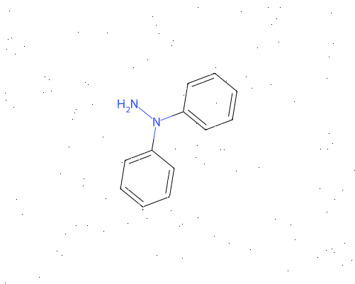 NN(c1cc[c]cc1)c1ccccc1